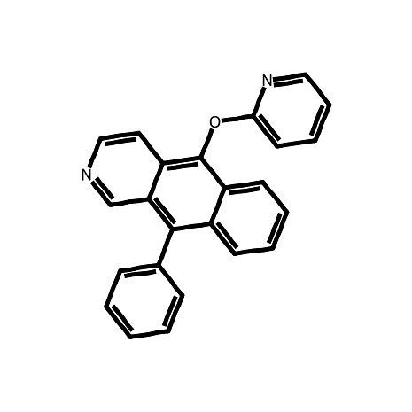 c1ccc(-c2c3ccccc3c(Oc3ccccn3)c3ccncc23)cc1